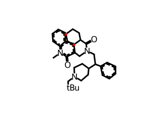 Cn1c(=O)c(CN(CC(c2ccccc2)C2CCN(CC(C)(C)C)CC2)C(=O)C2CCCCC2)cc2ccccc21